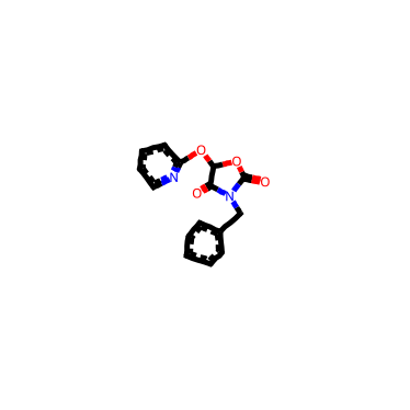 O=C1OC(Oc2ccccn2)C(=O)N1Cc1ccccc1